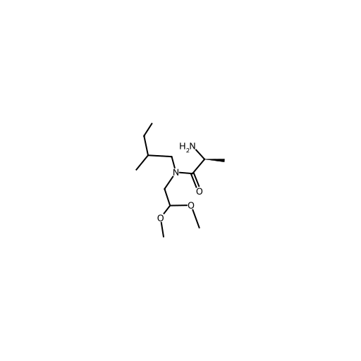 CCC(C)CN(CC(OC)OC)C(=O)[C@H](C)N